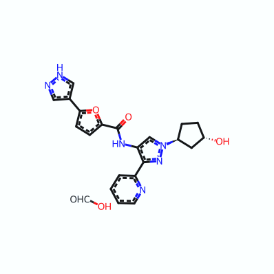 O=C(Nc1cn([C@H]2CC[C@H](O)C2)nc1-c1ccccn1)c1ccc(-c2cn[nH]c2)o1.O=CO